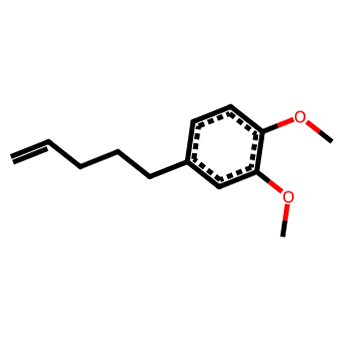 C=CCCCc1ccc(OC)c(OC)c1